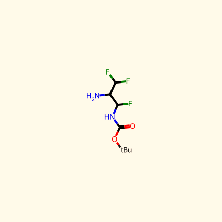 CC(C)(C)OC(=O)NC(F)C(N)C(F)F